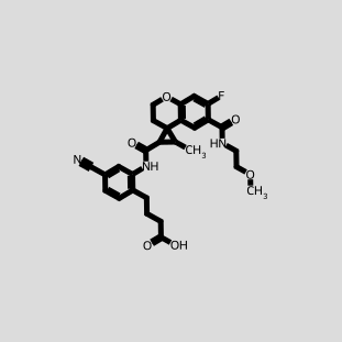 COCCNC(=O)c1cc2c(cc1F)OCCC21C(C)C1C(=O)Nc1cc(C#N)ccc1CCCC(=O)O